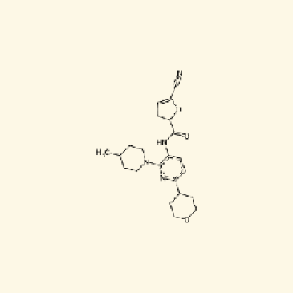 CC1CCN(c2nc(C3CCOCC3)ccc2NC(=O)C2CC=C(C#N)O2)CC1